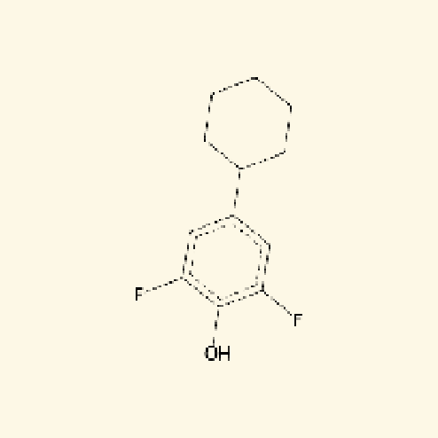 Oc1c(F)cc(C2CCCCC2)cc1F